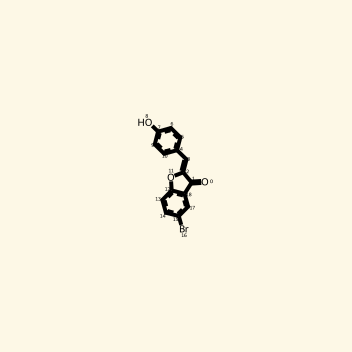 O=C1/C(=C/c2ccc(O)cc2)Oc2ccc(Br)cc21